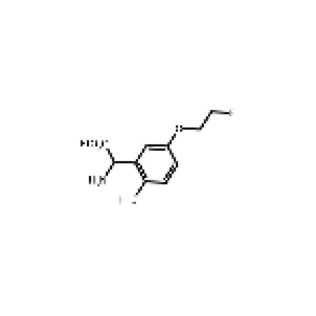 CCOC(=O)C(N)c1cc(OCCF)ccc1C